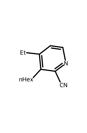 CCCCCCc1c(CC)ccnc1C#N